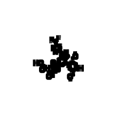 COC[C@H]1CN(c2cc(S(=O)(=O)NC3(C)COC3)cn3c(-c4nnc(C(F)F)s4)ncc23)[C@H](COC)CN1.O=CO